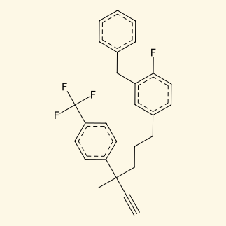 C#CC(C)(CCCc1ccc(F)c(Cc2ccccc2)c1)c1ccc(C(F)(F)F)cc1